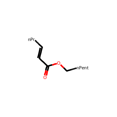 CCCC=CC(=O)OCCCCCC